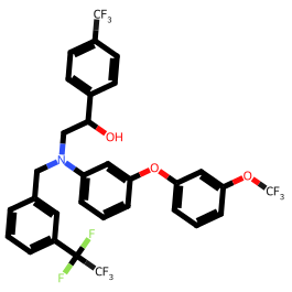 OC(CN(Cc1cccc(C(F)(F)C(F)(F)F)c1)c1cccc(Oc2cccc(OC(F)(F)F)c2)c1)c1ccc(C(F)(F)F)cc1